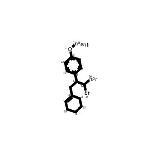 CCCCCOc1ccc(C(CC2=CCCCC2)C(CC)CCC)cc1